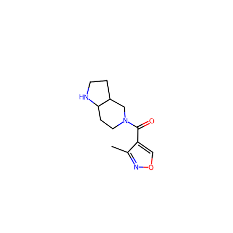 Cc1nocc1C(=O)N1CCC2NCCC2C1